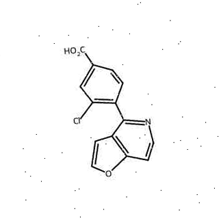 O=C(O)c1ccc(-c2nccc3occc23)c(Cl)c1